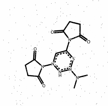 CN(C)n1[nH]n(N2C(=O)CCC2=O)cc(N2C(=O)CCC2=O)s1